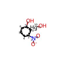 O=[N+]([O-])c1cccc(O)[c]1[Hg][OH]